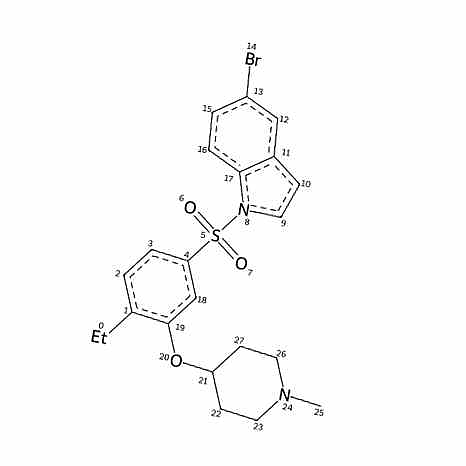 CCc1ccc(S(=O)(=O)n2ccc3cc(Br)ccc32)cc1OC1CCN(C)CC1